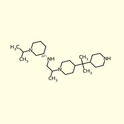 CC(C)N1CCC[C@H](NCC(C)N2CCC(C(C)(C)C3CCNCC3)CC2)C1